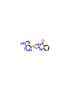 O=c1[nH]c(CSc2ncnc3[nH]cnc23)nc2ccccc12